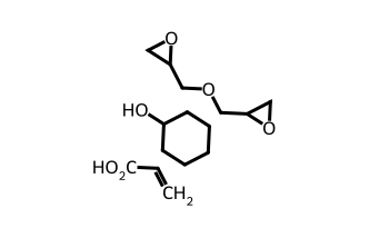 C(OCC1CO1)C1CO1.C=CC(=O)O.OC1CCCCC1